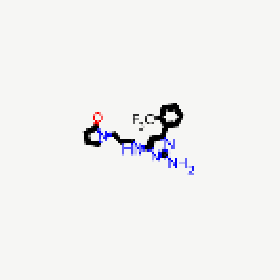 Nc1nc(NCCCN2CCCC2=O)cc(-c2ccccc2C(F)(F)F)n1